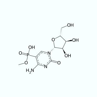 COP(=O)(O)c1cn([C@@H]2O[C@H](CO)[C@@H](O)[C@H]2O)c(=O)nc1N